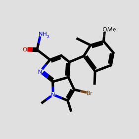 COc1ccc(C)c(-c2cc(C(N)=O)nc3c2c(Br)c(C)n3C)c1C